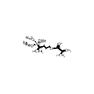 C=C(C)C(=O)OCCCC(C)[Si](OC)(OC)OC